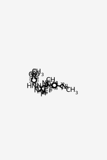 CCN1CC(c2ccc(-n3cc(-c4nc(NC5CCN(S(C)(=O)=O)CC5)ncc4C(F)(F)F)nc3C)c(F)c2)C1